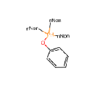 CCCCCCCCC[PH](CCCCCCCCC)(CCCCCCCCC)Oc1ccccc1